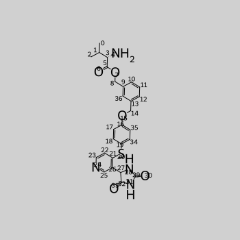 CC(C)[C@H](N)C(=O)OCc1cccc(COc2ccc(Sc3ccncc3C3NC(=O)NC3=O)cc2)c1